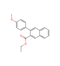 CCOC(=O)c1cc2ccccc2cc1-c1ccc(OC)cc1